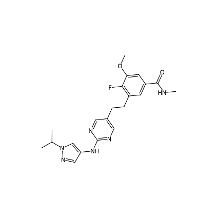 CNC(=O)c1cc(CCc2cnc(Nc3cnn(C(C)C)c3)nc2)c(F)c(OC)c1